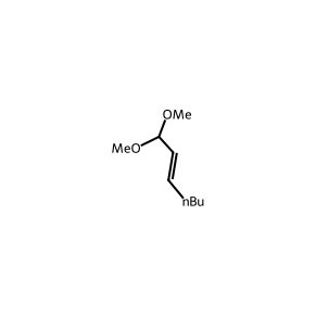 CCCCC=CC(OC)OC